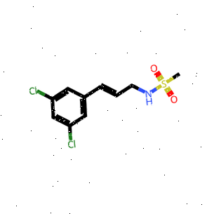 CS(=O)(=O)NCC=Cc1cc(Cl)cc(Cl)c1